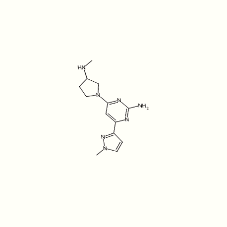 CNC1CCN(c2cc(-c3ccn(C)n3)nc(N)n2)C1